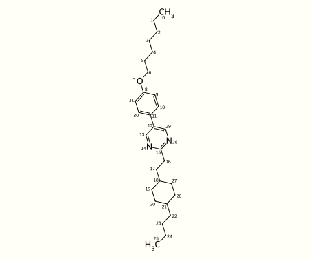 CCCCCCCOc1ccc(-c2cnc(CCC3CCC(CCCC)CC3)nc2)cc1